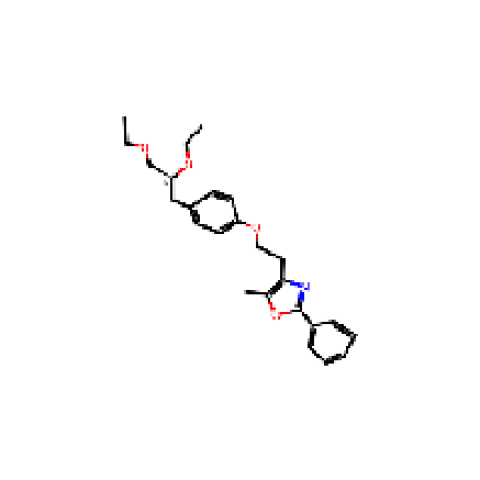 CCOC[C@H](Cc1ccc(OCCc2nc(-c3ccccc3)oc2C)cc1)OCC